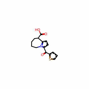 O=C(c1cccs1)c1ccc2n1CCCCC2C(=O)O